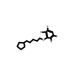 Fc1cc(F)c(F)c(OCCCCCC2CCCC2)c1F